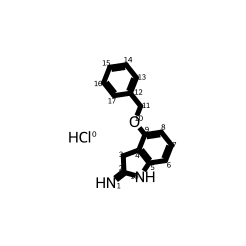 Cl.N=C1Cc2c(cccc2OCc2ccccc2)N1